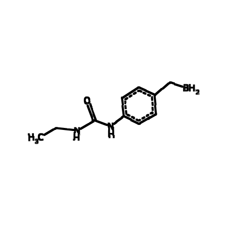 BCc1ccc(NC(=O)NCC)cc1